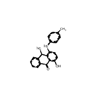 Cc1ccc(Nc2ccc(O)c3c2C(O)c2ccccc2C3=O)cc1